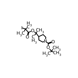 CC(C)(C)OC(=O)N1CCC(C(C)(C)OC(=O)C(C)(C)I)CC1